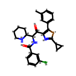 Cc1cccc(-c2sc(C3CC3)nc2C(=O)[C@@H](NC(=O)c2cccc(Br)c2)C2CCCCN2)c1